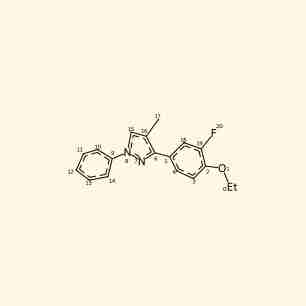 CCOc1ccc(-c2nn(-c3ccccc3)cc2C)cc1F